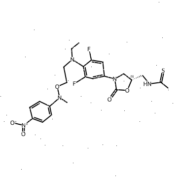 CCN(CCON(C)c1ccc([N+](=O)[O-])cc1)c1c(F)cc(N2C[C@H](CNC(C)=S)OC2=O)cc1F